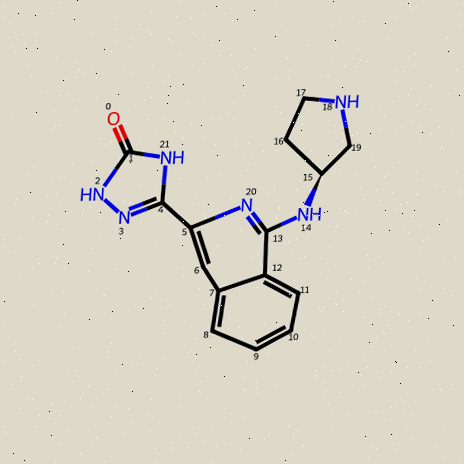 O=c1[nH]nc(-c2cc3ccccc3c(N[C@H]3CCNC3)n2)[nH]1